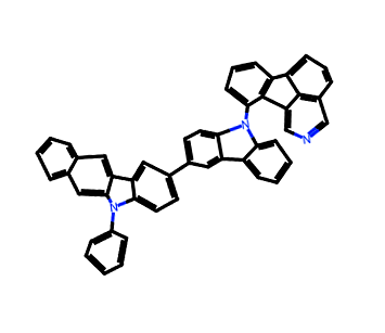 c1ccc(-n2c3ccc(-c4ccc5c(c4)c4ccccc4n5-c4cccc5c4-c4cncc6cccc-5c46)cc3c3cc4ccccc4cc32)cc1